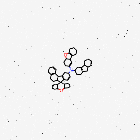 C1=CC2=C(CC1)CCC1C2C2=C(C=CC(N(C3=CC4C5=C(CCCC5)OC4CC3)C3CCC4=C(C3)C3CCC=CC3C4)C2)C12C1C=CCCC1OC1CCCCC12